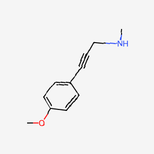 CNCC#Cc1ccc(OC)cc1